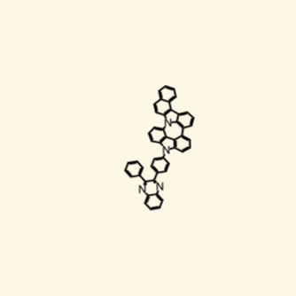 c1ccc(-c2nc3ccccc3nc2-c2ccc(-n3c4cccc5c6cccc7c8c9ccccc9ccc8n(c8cccc3c8c54)c67)cc2)cc1